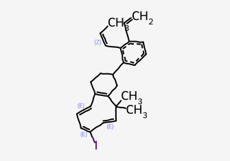 C=Cc1cccc(C2CCC3=C(C2)C(C)(C)/C=C/C(I)=C\C=C\3)c1/C=C\C